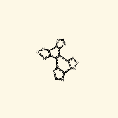 c1nc2c3nonc3c3c4scnc4c4nonc4c3c2s1